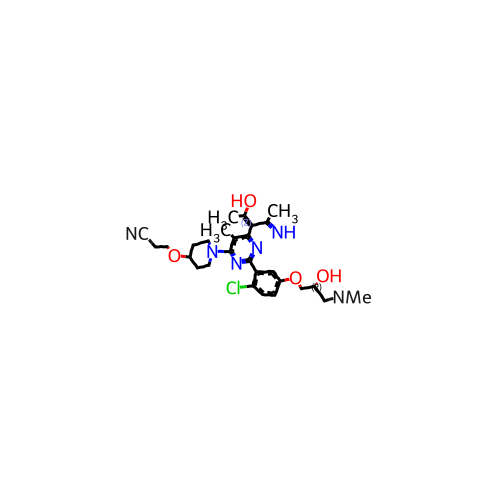 CNC[C@@H](O)COc1ccc(Cl)c(-c2nc(/C(C(C)=N)=C(\C)O)c(C)c(N3CCC(OCCC#N)CC3)n2)c1